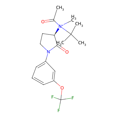 CC(=O)[N+](C)([C@@H]1CCN(c2cccc(OC(F)(F)F)c2)C1=O)C(C)(C)C